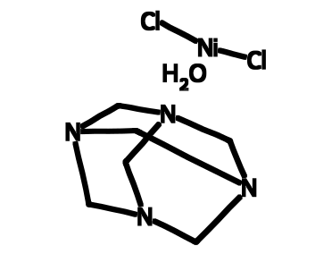 C1N2CN3CN1CN(C2)C3.O.[Cl][Ni][Cl]